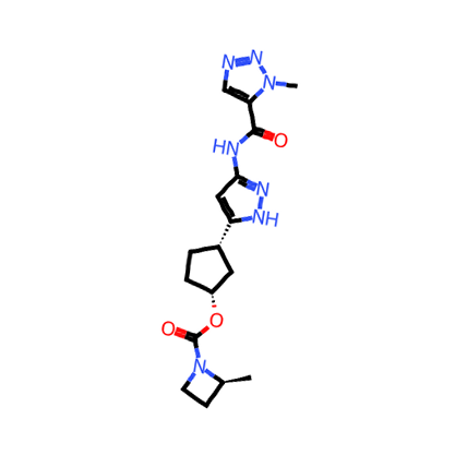 C[C@H]1CCN1C(=O)O[C@@H]1CC[C@H](c2cc(NC(=O)c3cnnn3C)n[nH]2)C1